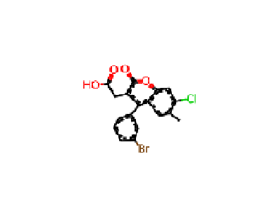 Cc1cc2c(-c3cccc(Br)c3)c(CC(=O)O)c(=O)oc2cc1Cl